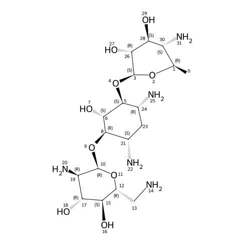 C[C@H]1O[C@@H](O[C@@H]2[C@@H](O)[C@H](O[C@H]3O[C@H](CN)[C@@H](O)[C@H](O)[C@H]3N)[C@@H](N)C[C@H]2N)[C@H](O)[C@@H](O)[C@@H]1N